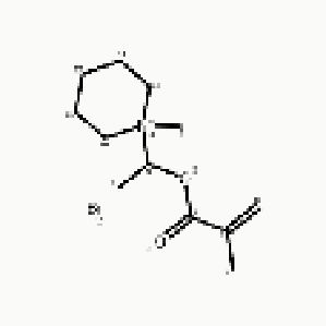 C=C(C)C(=O)OC(C)[N+]1(C)CCCCC1.[Br-]